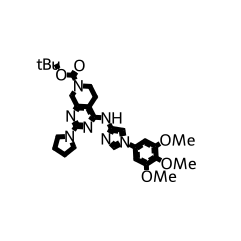 COc1cc(-n2cnc(Nc3nc(N4CCCC4)nc4c3CCN(C(=O)OC(C)(C)C)C4)c2)cc(OC)c1OC